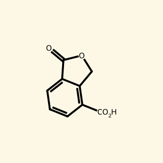 O=C(O)c1cccc2c1COC2=O